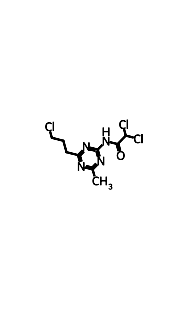 Cc1nc(CCCCl)nc(NC(=O)C(Cl)Cl)n1